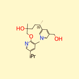 Cc1cc(C(C)C)cnc1OCC(C)(O)CC[C@H](C)c1cncc(CO)c1